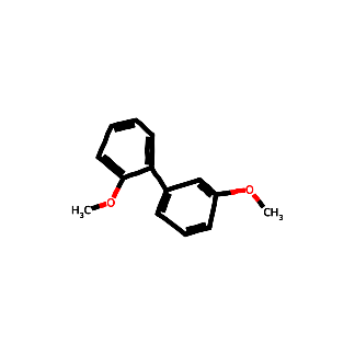 COc1cccc(-c2ccccc2OC)c1